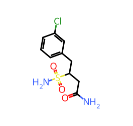 NC(=O)CC(Cc1cccc(Cl)c1)S(N)(=O)=O